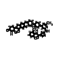 Cc1nc(Nc2ncc(C(=O)Nc3c(C)cccc3Cl)s2)cc(N2CCC(N3CCN(Cc4cc5c(cc4F)C(=O)N(C4CCC(=O)NC4=O)C5)CC3)CC2)n1